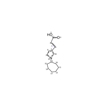 O=C(O)/C=C/c1ccn(C2CCCCCC2)c1